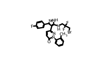 Cc1ccccc1-n1nc(-c2c(-c3ccc(F)cc3)n[nH]c2NCC(F)(F)CBr)ccc1=O